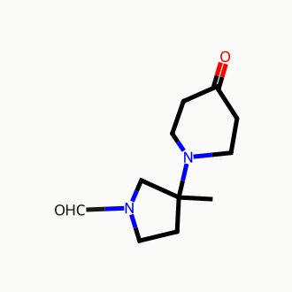 CC1(N2CCC(=O)CC2)CCN(C=O)C1